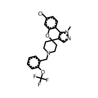 Cn1ncc2c1-c1ccc(Cl)cc1OC21CCN(Cc2ccccc2OC(F)(F)F)CC1